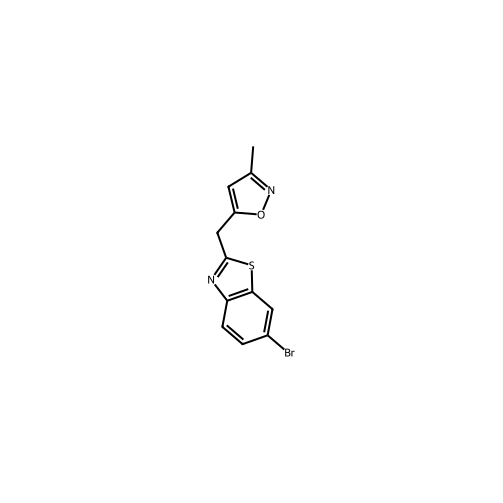 Cc1cc(Cc2nc3ccc(Br)cc3s2)on1